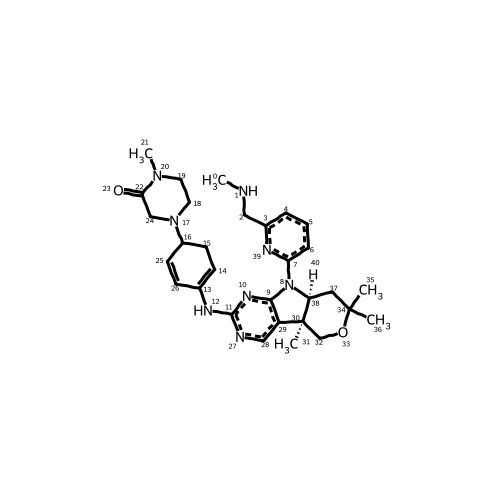 CNCc1cccc(N2c3nc(NC4=CCC(N5CCN(C)C(=O)C5)C=C4)ncc3[C@]3(C)COC(C)(C)C[C@H]23)n1